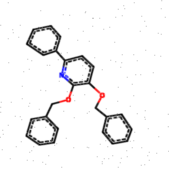 c1ccc(COc2ccc(-c3ccccc3)nc2OCc2ccccc2)cc1